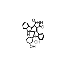 O=C1NC(=O)c2c1c1c3ccccc3[nH]c1c1c2c2ccccc2n1C1CCC[C@@H](O)[C@H]1O